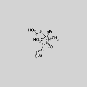 CCCC/C=C/CC(=O)N(C)[C@](CCC)(CCO)C(=O)O